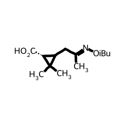 C/C(CC1[C@@H](C(=O)O)C1(C)C)=N\OCC(C)C